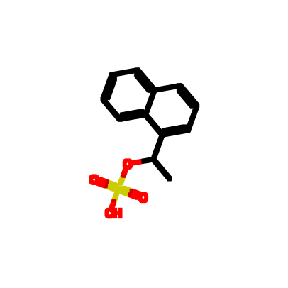 CC(OS(=O)(=O)O)c1cccc2ccccc12